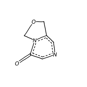 O=c1cncc2n1COC2